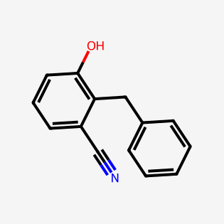 N#Cc1cccc(O)c1Cc1ccccc1